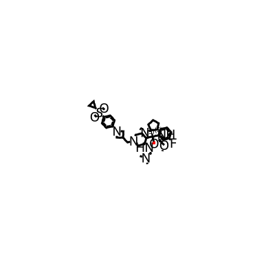 C=N[C@]1(C(CNCN(C)C)(c2cccc(F)c2)C2CCN(CC3CN(c4ccc(S(=O)(=O)C5CC5)cc4)C3)CC2)CCC[C@@H]1NC(=O)OC